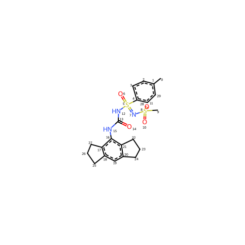 Cc1ccc(S(=O)(=NS(C)(=O)=O)NC(=O)Nc2c3c(cc4c2CCC4)CCC3)cc1